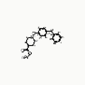 CCCOC(=O)C1CCN(Oc2ccc(Cc3ccccc3)cc2)CC1